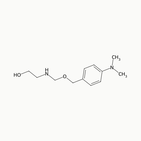 CN(C)c1ccc(COCNCCO)cc1